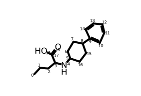 CCCC(NC1CCC(c2ccccc2)CC1)C(=O)O